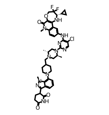 C[C@@H]1CN(c2ncc(Cl)c(Nc3ccc4c(c3)c3c(c(=O)n4C)OCC(F)(F)[C@H](C4CC4)N3)n2)[C@@H](C)CN1CC1CCN(c2cccc3c(C4CCC(=O)NC4=O)nn(C)c23)CC1